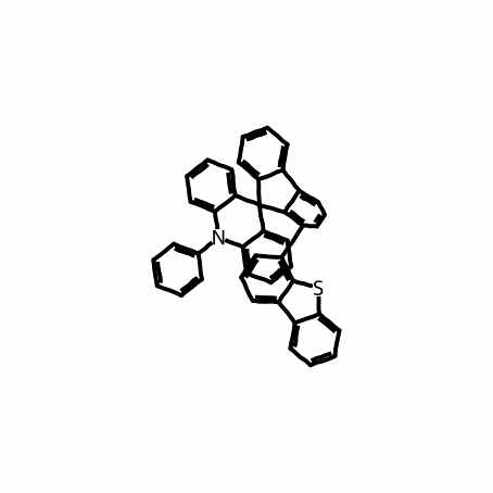 c1ccc(N2c3ccccc3C3(c4ccccc4-c4cccc(-c5cccc6c5sc5ccccc56)c43)c3ccccc32)cc1